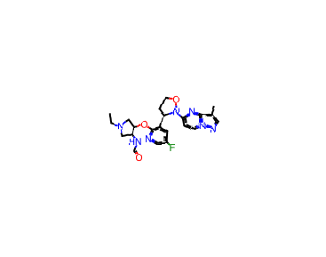 CCN1CC(NC=O)C(Oc2ncc(F)cc2[C@H]2CCON2c2ccn3ncc(C)c3n2)C1